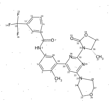 Cc1ccc(NC(=O)c2cccc(C(F)(F)F)c2)cc1-c1cc(N2CCOCC2)nc(N2C(=O)OC[C@@H]2C)n1